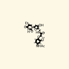 CCc1cn([C@@H]2CC(O)[C@H](CNC(=O)[C@H](C)Oc3ccc(NC(C)=O)cc3Cl)O2)c(=O)[nH]c1=O